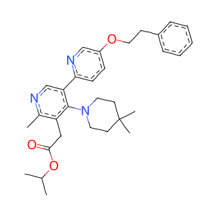 Cc1ncc(-c2ccc(OCCc3ccccc3)cn2)c(N2CCC(C)(C)CC2)c1CC(=O)OC(C)C